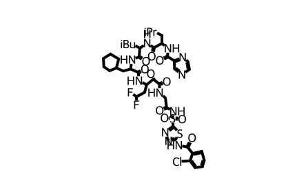 CCC(C)C(NC(=O)C(CC(C)C)NC(=O)c1cnccn1)C(=O)NC(CC1CCCCC1)C(=O)NC(CC(F)F)C(=O)C(=O)NCC(=O)NS(=O)(=O)c1nnc(NC(=O)c2ccccc2Cl)s1